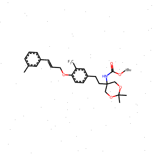 Cc1cccc(C=CCOc2ccc(CCC3(NC(=O)OC(C)(C)C)COC(C)(C)OC3)cc2C(F)(F)F)c1